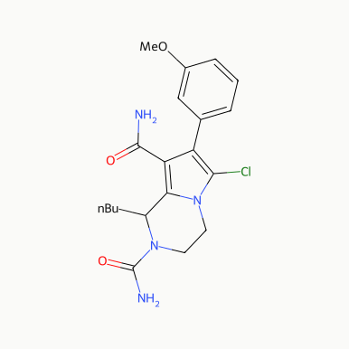 CCCCC1c2c(C(N)=O)c(-c3cccc(OC)c3)c(Cl)n2CCN1C(N)=O